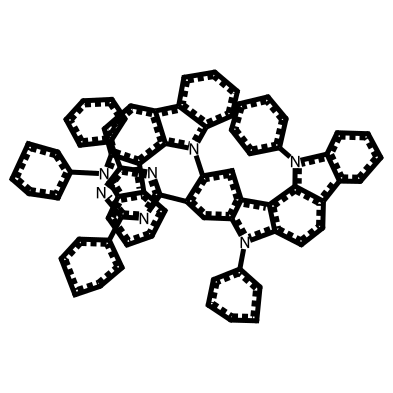 c1ccc(-c2nc(-c3ccccc3)nc(-c3cc4c(cc3-n3c5ccccc5c5ccc6c(c7ccccc7n6-c6ccccc6)c53)c3c(ccc5c6ccccc6n(-c6ccccc6)c53)n4-c3ccccc3)n2)cc1